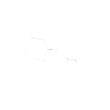 O=C(O)NCC1COCCN1